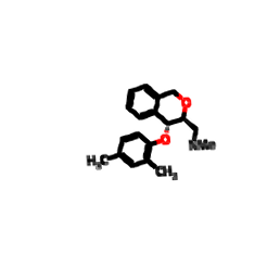 CNC[C@@H]1OCc2ccccc2[C@H]1Oc1ccc(C)cc1C